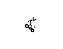 CCN(CC)c1cn(C)[c+](N=Nc2c(-c3ccccc3)[nH]c3ccccc23)s1.[Br-]